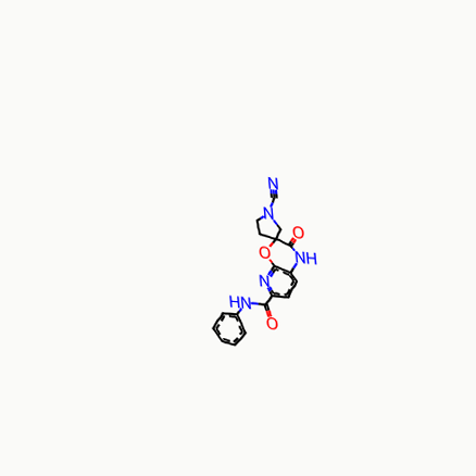 N#CN1CCC2(C1)Oc1nc(C(=O)Nc3ccccc3)ccc1NC2=O